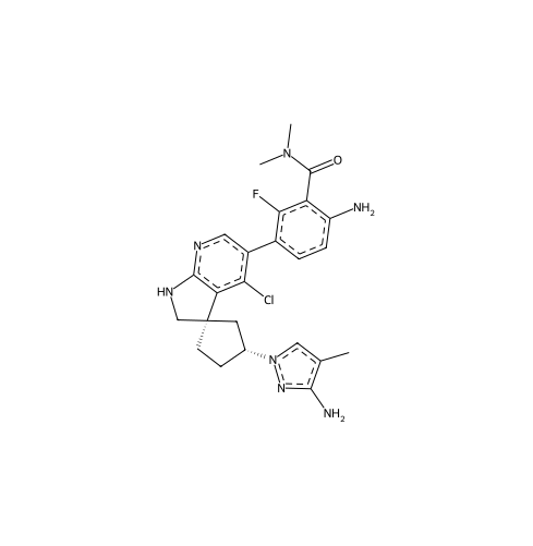 Cc1cn([C@@H]2CC[C@@]3(CNc4ncc(-c5ccc(N)c(C(=O)N(C)C)c5F)c(Cl)c43)C2)nc1N